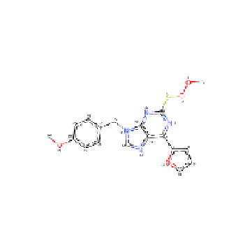 COOSc1nc(-c2ccco2)c2ncn(Cc3ccc(OC)cc3)c2n1